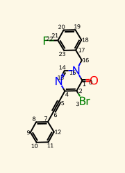 O=c1c(Br)c(C#Cc2ccccc2)ncn1Cc1cccc(F)c1